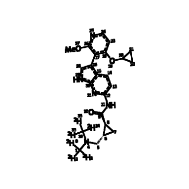 [2H]C([2H])([2H])N(C[C@H]1C[C@@H]1C(=O)Nc1ccc2c(-c3c(OC4CC4)ccnc3OC)c[nH]c2n1)C([2H])([2H])[2H]